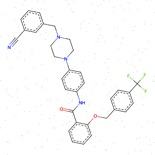 N#Cc1cccc(CN2CCN(c3ccc(NC(=O)c4ccccc4OCc4ccc(C(F)(F)F)cc4)cc3)CC2)c1